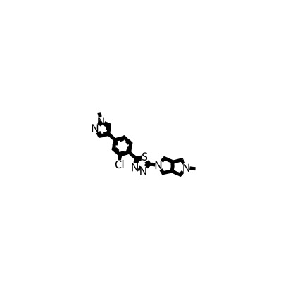 CN1CC2CN(c3nnc(-c4ccc(-c5cnn(C)c5)cc4Cl)s3)CC2C1